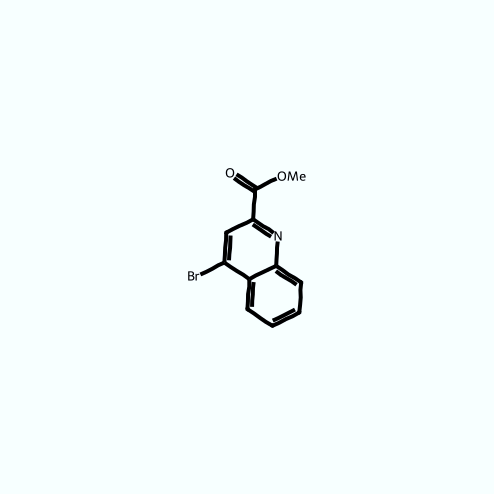 COC(=O)c1cc(Br)c2ccccc2n1